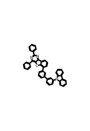 c1ccc(-c2nc(-c3ccccc3)c3oc4c(-c5cccc(-c6cccc(-n7c8ccccc8c8ccccc87)c6)c5)cccc4c3n2)cc1